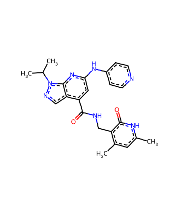 Cc1cc(C)c(CNC(=O)c2cc(Nc3ccncc3)nc3c2cnn3C(C)C)c(=O)[nH]1